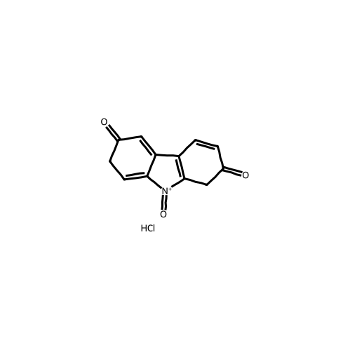 Cl.O=C1C=C2C(=CC1)[N+](=O)C1=C2C=CC(=O)C1